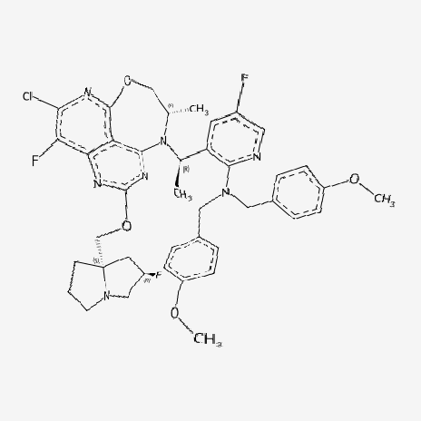 COc1ccc(CN(Cc2ccc(OC)cc2)c2ncc(F)cc2[C@@H](C)N2c3nc(OC[C@@]45CCCN4C[C@H](F)C5)nc4c(F)c(Cl)nc(c34)OC[C@@H]2C)cc1